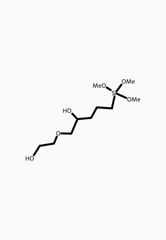 CO[Si](CCCC(O)COCCO)(OC)OC